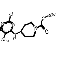 CC(C)(C)OC(=O)N1CCC(Nc2nc(Cl)ncc2N)CC1